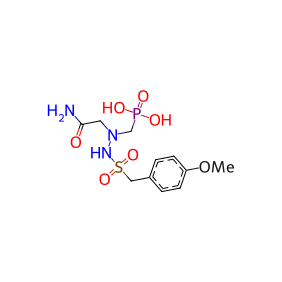 COc1ccc(CS(=O)(=O)NN(CC(N)=O)CP(=O)(O)O)cc1